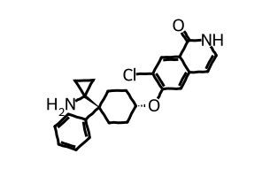 NC1([C@]2(c3ccccc3)CC[C@@H](Oc3cc4cc[nH]c(=O)c4cc3Cl)CC2)CC1